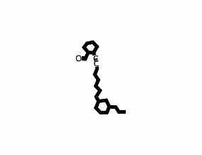 CCCC1CCCC(CCCCCCCCC2CCCCC2C=O)C1